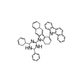 C1=CCC2C=c3c4c(n(C5=NC(C6C=CC=CC6)NC(c6ccccc6)N5)c3=CC2=C1)CCC=C4n1c2ccccc2c2ccc3ccccc3c21